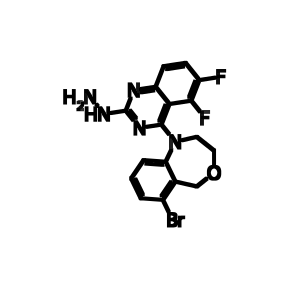 NNc1nc(N2CCOCc3c(Br)cccc32)c2c(F)c(F)ccc2n1